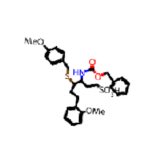 COc1ccc(CSC(CCc2ccccc2OC)C(CCS(=O)(=O)O)NC(=O)OCc2ccccc2)cc1